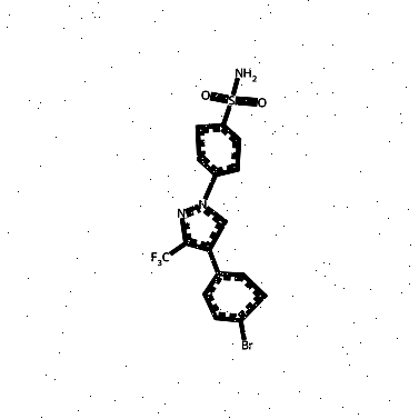 NS(=O)(=O)c1ccc(-n2cc(-c3ccc(Br)cc3)c(C(F)(F)F)n2)cc1